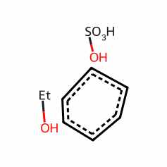 CCO.O=S(=O)(O)O.c1ccccc1